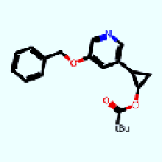 CC(C)(C)C(=O)OC1CC1c1cncc(OCc2ccccc2)c1